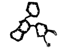 CCCn1nc(-c2c(-c3ccccc3)nn3ccccc23)ccc1=O